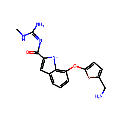 CNC(N)=NC(=O)c1cc2cccc(Oc3ccc(CN)s3)c2[nH]1